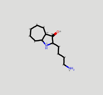 NCCCCC1NC2CCCCCC2C1=O